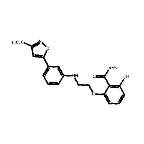 CCOC(=O)c1cc(-c2cccc(NCCOc3cccc(O)c3C(=O)NC)c2)on1